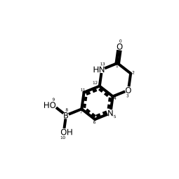 O=C1COc2ncc(B(O)O)cc2N1